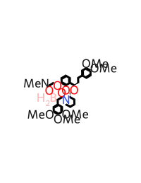 B[C@H](C(=O)N1CCCC[C@H]1C(=O)O[C@H](CCc1ccc(OC)c(OC)c1)c1cccc(OCC(=O)NC)c1)c1cc(OC)c(OC)c(OC)c1